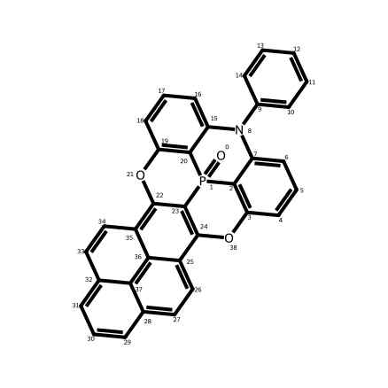 O=P12c3c4cccc3N(c3ccccc3)c3cccc(c31)Oc1c2c(c2ccc3cccc5ccc1c2c35)O4